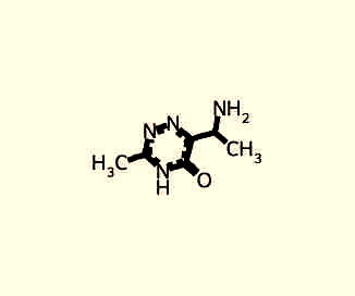 Cc1nnc(C(C)N)c(=O)[nH]1